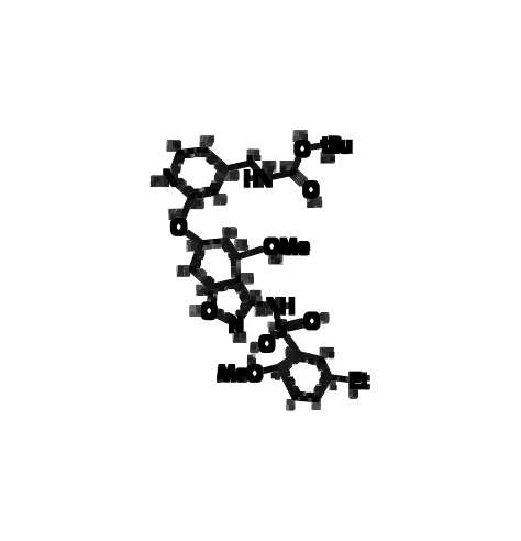 CCc1ccc(OC)c(S(=O)(=O)Nc2noc3cc(Oc4cc(CNC(=O)OC(C)(C)C)ccn4)cc(OC)c23)c1